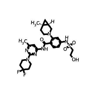 Cc1cc(NC(=O)c2ccc(NS(=O)(=O)CCO)cc2N2CC[C@@]3(C)C[C@H]3C2)nc(N2CCC(F)(F)CC2)n1